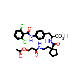 CC([O])OCCC(=O)NCCC1(C(=O)N[C@@H](Cc2ccc(NC(=O)c3c(Cl)cccc3Cl)cc2)C(=O)O)CCCC1